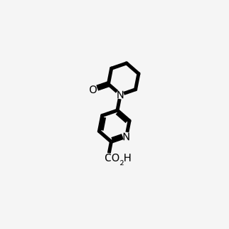 O=C(O)c1ccc(N2CCCCC2=O)cn1